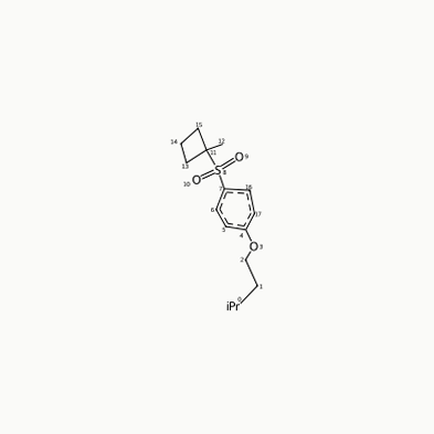 CC(C)CCOc1ccc(S(=O)(=O)C2(C)CCC2)cc1